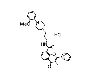 COc1ccccc1N1CCN(CCCNC(=O)c2cccc3c(=O)c(C)c(C4CC5C=CC4C5)oc23)CC1.Cl